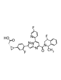 C[C@@H]1c2ccccc2C(F)CN1C(=O)c1cc(-c2ccc(F)cn2)n2nc(-c3ccc([C@H]4C[C@@H]4CC(=O)O)cc3F)cc2n1